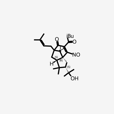 CCC(C)C(=O)C1=C(N=O)[C@@]23C[C@H](C(C)(C)O)C(C)(C)[C@@H]2CC(CC=C(C)C)(C1=O)C3=O